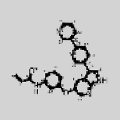 C=CC(=O)Nc1cccc(Oc2cnc3[nH]cc(-c4ccc(-c5cccnc5)nc4)c3c2)c1